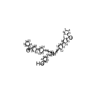 O=C(c1ccccc1)c1ccc(-c2ccc(C#CCN(CC#Cc3ccc(-c4ccc(C(=O)c5ccccc5)cc4)cc3)CCc3ccc(O)cc3)cc2)cc1